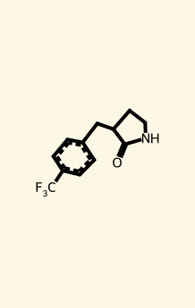 O=C1NCCC1Cc1ccc(C(F)(F)F)cc1